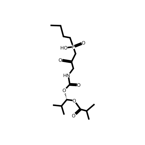 CCCCP(=O)(O)CC(=O)CNC(=O)O[C@H](OC(=O)C(C)C)C(C)C